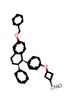 O=CC1CC(Oc2ccc([C@@H]3c4ccc(OCc5ccccc5)cc4CC[C@@H]3c3ccccc3)cc2)C1